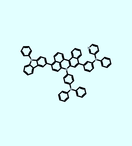 c1ccc(N(c2ccccc2)c2ccc(N3c4cc(-c5cccc(N(c6ccccc6)c6cccnc6)c5)c5ccccc5c4-c4cccc5c(-c6ccc7c(c6)c6ccccc6n7-c6ccccc6)ccc3c45)cc2)cc1